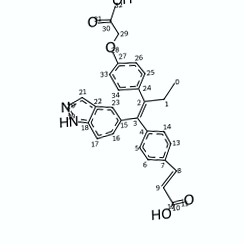 CCC(=C(c1ccc(C=CC(=O)O)cc1)c1ccc2[nH]ncc2c1)c1ccc(OCC(=O)O)cc1